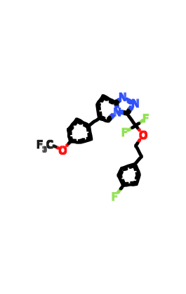 Fc1ccc(CCOC(F)(F)c2nnc3ccc(-c4ccc(OC(F)(F)F)cc4)cn23)cc1